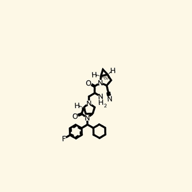 N#CC1C[C@@H]2C[C@@H]2N1C(=O)C(N)CN1CC2C[C@H]1C(=O)N2C(c1ccc(F)cc1)C1CCCCC1